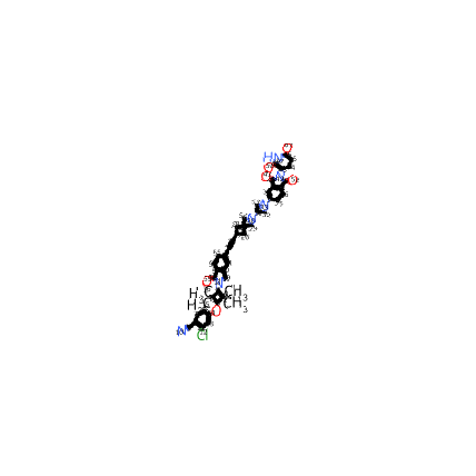 CC1(C)[C@H](Oc2ccc(C#N)c(Cl)c2)C(C)(C)[C@H]1N1Cc2cc(C#CC3CC4(C3)CN(C3CN(c5ccc6c(c5)C(=O)N(C5CCC(=O)NC5=O)C6=O)C3)C4)ccc2C1=O